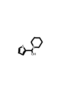 OC(c1cccs1)N1CCCCC1